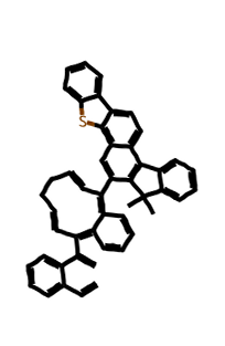 C=Cc1ccccc1C(=C)C1=c2\cccc\c2=C(c2cc3c(ccc4c5ccccc5sc34)c3c2C(C)(C)c2ccccc2-3)\C=C\CC\C=C\1